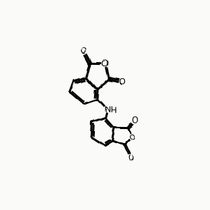 O=C1OC(=O)c2c(Nc3cccc4c3C(=O)OC4=O)cccc21